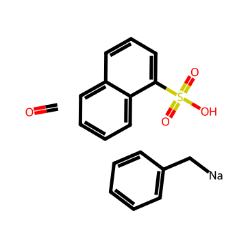 C=O.O=S(=O)(O)c1cccc2ccccc12.[Na][CH2]c1ccccc1